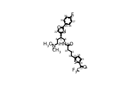 CN(C)CCC(CNC(=O)CCCc1ccc(C(=O)C(F)(F)F)s1)c1coc(-c2ccc(F)cc2)n1